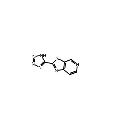 c1cc2nc(-c3nnn[nH]3)sc2cn1